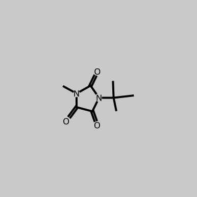 CN1C(=O)C(=O)N(C(C)(C)C)C1=O